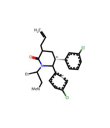 C=CCC1C[C@H](c2cccc(Cl)c2)C(c2ccc(Cl)cc2)N(C(CC)CNC)C1=O